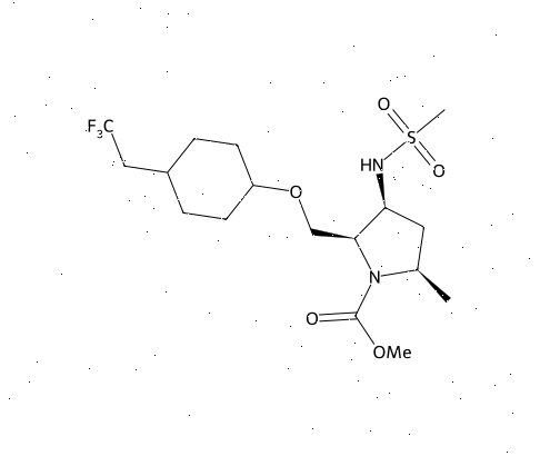 COC(=O)N1[C@H](C)C[C@H](NS(C)(=O)=O)[C@@H]1COC1CCC(CC(F)(F)F)CC1